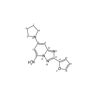 Nc1cc(N2CCCC2)cc2nc(-c3ccco3)nn12